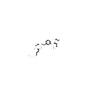 CCc1nc(C(N)=O)c(Nc2cccc(CCNC(=O)C(C)N(C)C(=O)/C=C/CNC)c2)nc1C